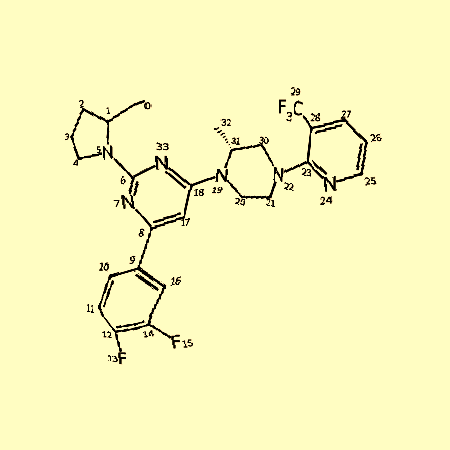 CC1CCCN1c1nc(-c2ccc(F)c(F)c2)cc(N2CCN(c3ncccc3C(F)(F)F)C[C@H]2C)n1